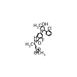 C[C@H](/C=C/S(C)(=O)=O)NC(=O)c1ccc(N2CC(C)(O)CC2c2ccccc2Cl)cc1F